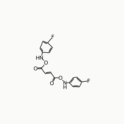 O=C(C=CC(=O)ONc1ccc(F)cc1)ONc1ccc(F)cc1